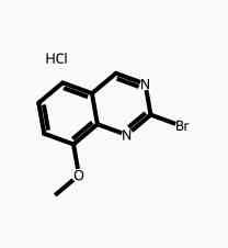 COc1cccc2cnc(Br)nc12.Cl